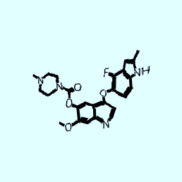 COc1cc2nccc(Oc3ccc4[nH]c(C)cc4c3F)c2cc1OC(=O)N1CCN(C)CC1